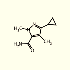 Cc1c(C2CC2)nn(C)c1C(N)=O